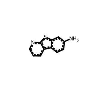 Nc1ccc2c(c1)sc1ncccc12